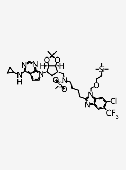 CC1(C)O[C@@H]2[C@@H](CN(CCCCc3nc4cc(C(F)(F)F)c(Cl)cc4n3COCC[Si](C)(C)C)S(C)(=O)=O)C[C@@H](n3ccc4c(NC5CC5)ncnc43)[C@@H]2O1